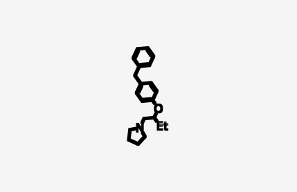 CCC(CN1CCCC1)Oc1ccc(Cc2ccccc2)cc1